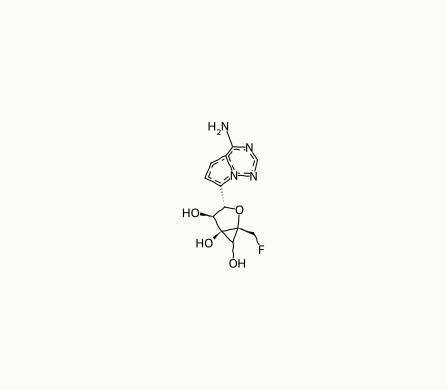 Nc1ncnn2c([C@@H]3O[C@]4(CF)C(O)[C@]4(O)[C@H]3O)ccc12